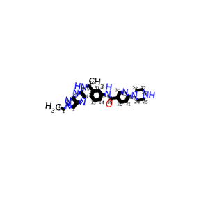 CCn1cc2ncc(N[C@@H](C)c3cccc(NC(=O)c4ccc(N5CCNCC5)nc4)c3)nc2n1